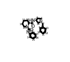 O=C(N[C@@H]1CCN(Cc2ccccc2)C1)[C@@H]1CCCCN1c1nc2ccccc2o1